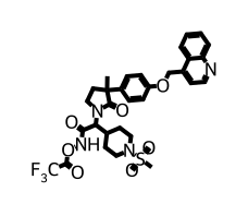 CC1(c2ccc(OCc3ccnc4ccccc34)cc2)CCN(C(C(=O)NOC(=O)C(F)(F)F)C2CCN(S(C)(=O)=O)CC2)C1=O